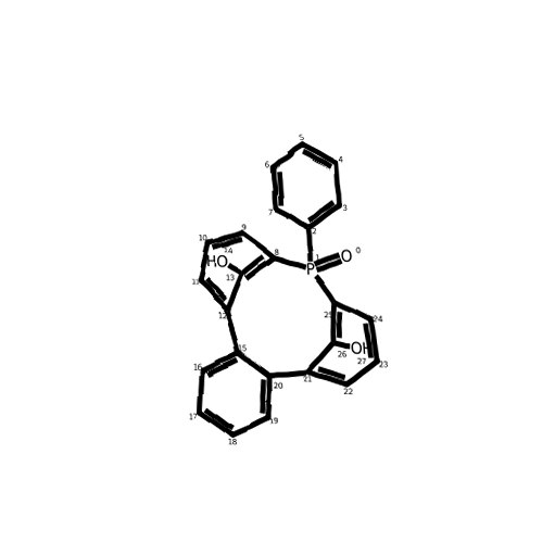 O=P1(c2ccccc2)c2cccc(c2O)-c2ccccc2-c2cccc1c2O